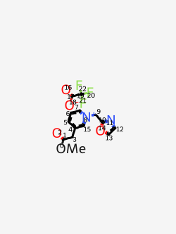 COC(=O)Cc1ccc[n+](Cc2ncco2)c1.O=C([O-])C(F)(F)F